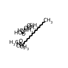 CCCCCCCCCCCCCCCCCCN(C)C(=O)N(C)C.O=C(O)N[SiH2]O[SiH2]O[SiH3]